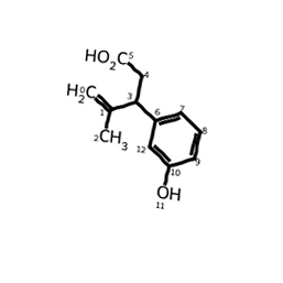 C=C(C)C(CC(=O)O)c1cccc(O)c1